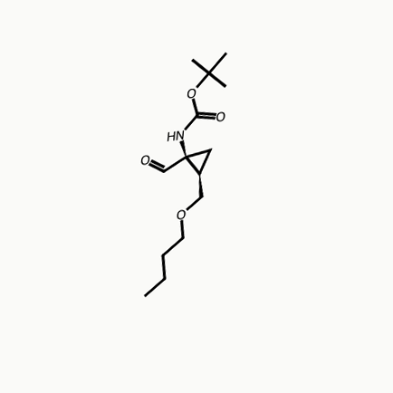 CCCCOC[C@@H]1C[C@]1(C=O)NC(=O)OC(C)(C)C